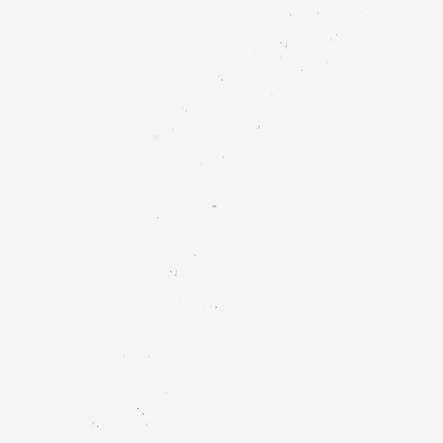 Nc1ccc(/C=C/C(=O)NCc2ccc(-c3cc4ccc(C(=O)N5CCC(F)(F)CC5)cc4cc3Cl)o2)cn1